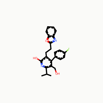 CC(C)c1nc(O)c(CCc2nc3ccccc3o2)c(-c2ccc(F)cc2)c1CO